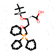 CC(C)(C)[Si](C)(C)O[C@H](CC(=O)O)CC(=O)C=P(c1ccccc1)(c1ccccc1)c1ccccc1